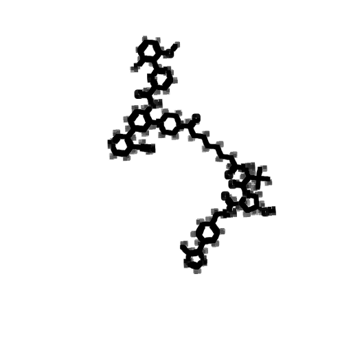 COc1cccc(F)c1-c1nccc(C(=O)Nc2ccc(-c3cnccc3C#N)cc2N2CCN(C(=O)CCCCCCC(=O)N[C@H](C(=O)N3C[C@H](O)C[C@H]3C(=O)NCc3ccc(-c4scnc4C)cc3)C(C)(C)C)CC2)n1